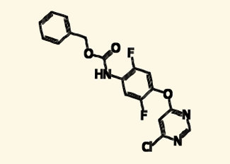 O=C(Nc1cc(F)c(Oc2cc(Cl)ncn2)cc1F)OCc1ccccc1